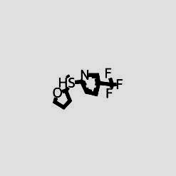 C[SH](c1ccc(C(F)(F)F)cn1)C1CCCO1